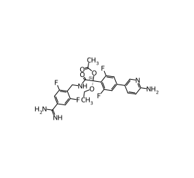 CCO[C@@](OC(C)=O)(C(=O)NCc1c(F)cc(C(=N)N)cc1F)c1c(F)cc(-c2ccc(N)nc2)cc1F